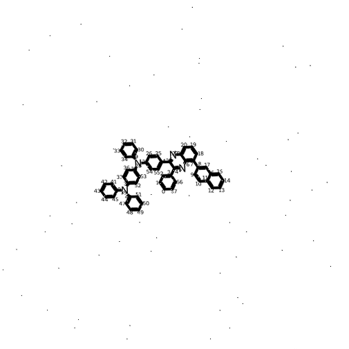 c1ccc(-c2nc3c(-c4ccc5ccccc5c4)cccc3nc2-c2ccc(N(c3ccccc3)c3ccc(N(c4ccccc4)c4ccccc4)cc3)cc2)cc1